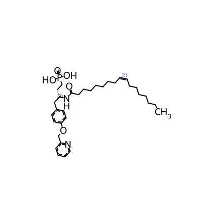 CCCCCCC/C=C\CCCCCCCC(=O)N[C@@H](CCP(=O)(O)O)Cc1ccc(OCc2ccccn2)cc1